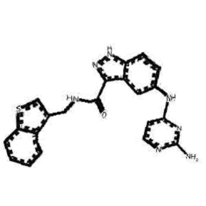 Nc1nccc(Nc2ccc3[nH]nc(C(=O)NCc4csc5ccccc45)c3c2)n1